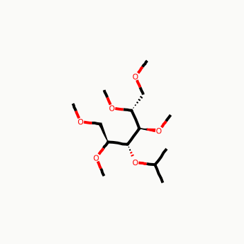 COC[C@H](OC)[C@@H](OC(C)C)[C@H](OC)[C@@H](COC)OC